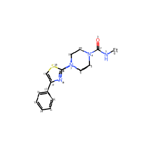 CCNC(=O)N1CCN(c2nc(-c3ccccc3)cs2)CC1